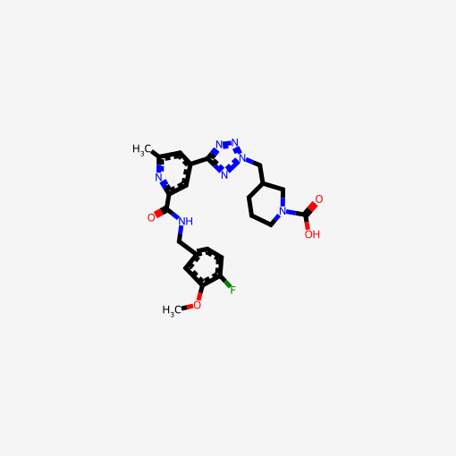 COc1cc(CNC(=O)c2cc(-c3nnn(CC4CCCN(C(=O)O)C4)n3)cc(C)n2)ccc1F